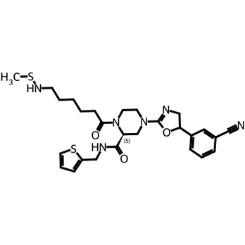 CSNCCCCCC(=O)N1CCN(C2=NCC(c3cccc(C#N)c3)O2)C[C@H]1C(=O)NCc1cccs1